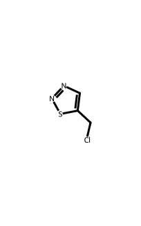 ClCc1cnns1